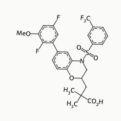 COc1cc(F)cc(-c2ccc3c(c2)N(S(=O)(=O)c2cccc(C(F)(F)F)c2)CC(CC(C)(C)C(=O)O)O3)c1F